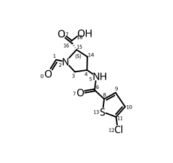 O=CN1CC(NC(=O)c2ccc(Cl)s2)C[C@H]1C(=O)O